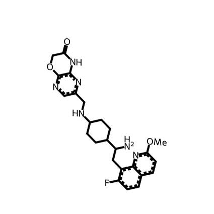 COc1ccc2ccc(F)c(CC(N)C3CCC(NCc4cnc5c(n4)NC(=O)CO5)CC3)c2n1